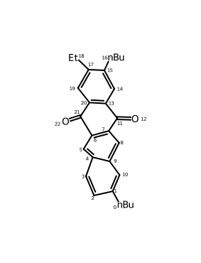 CCCCc1ccc2cc3c(cc2c1)C(=O)c1cc(CCCC)c(CC)cc1C3=O